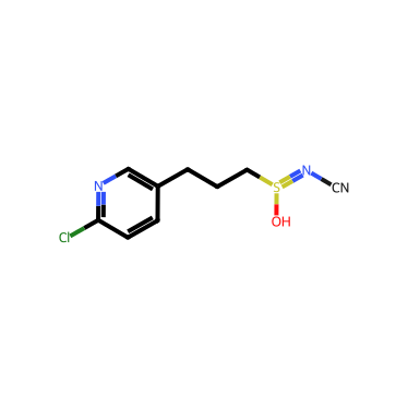 N#CN=S(O)CCCc1ccc(Cl)nc1